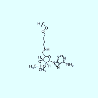 COOCCCCNCC1OC(n2cnc3c(N)ncnc32)[C@@H]2OC(C)(C)O[C@H]12